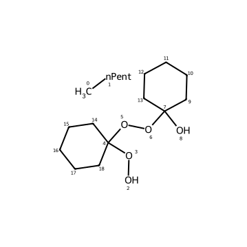 CCCCCC.OOC1(OOC2(O)CCCCC2)CCCCC1